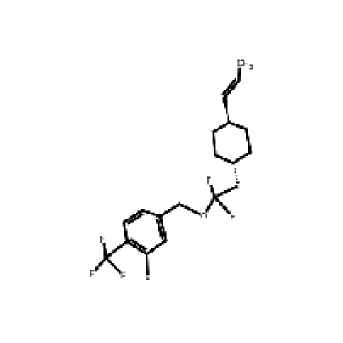 CC=C[C@H]1CC[C@H](CC(F)(F)OCc2ccc(C(F)(F)F)c(F)c2)CC1